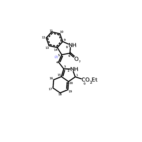 CCOC(=O)C1NC(/C=C2\C(=O)Nc3ccccc32)=C2CCCC=C21